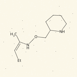 CC/C=C(/C)NOCC1CCCCN1